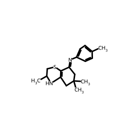 Cc1ccc(/N=C2\CC(C)(C)CC3=C2SCC(C)N3)cc1